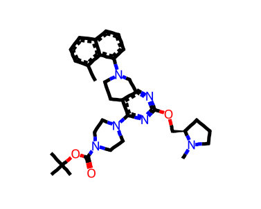 Cc1cccc2cccc(N3CCc4c(nc(OC[C@H]5CCCN5C)nc4N4CCN(C(=O)OC(C)(C)C)CC4)C3)c12